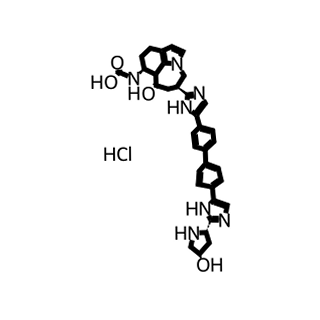 Cl.O=C(O)N[C@H]1CCc2ccn3c2C1C(=O)C[C@H](c1ncc(-c2ccc(-c4ccc(-c5cnc([C@@H]6C[C@H](O)CN6)[nH]5)cc4)cc2)[nH]1)C3